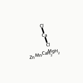 [CaH2].[Cl][Ca][Cl].[MgH2].[Mn].[Zn]